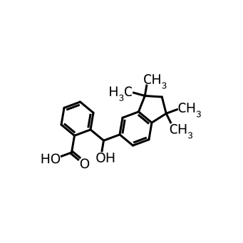 CC1(C)CC(C)(C)c2cc(C(O)c3ccccc3C(=O)O)ccc21